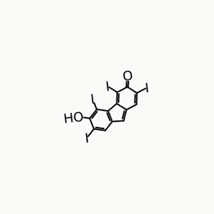 O=C1C(I)=CC2=Cc3cc(I)c(O)c(I)c3C2=C1I